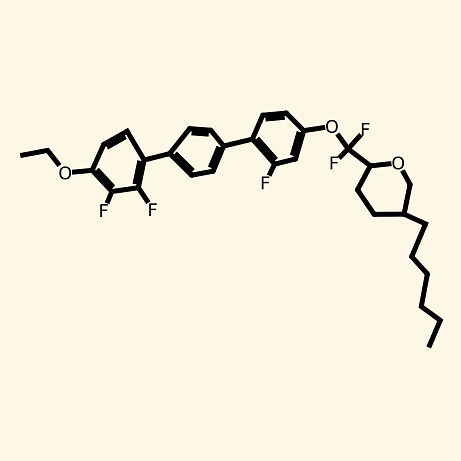 CCCCCCC1CCC(C(F)(F)Oc2ccc(-c3ccc(-c4ccc(OCC)c(F)c4F)cc3)c(F)c2)OC1